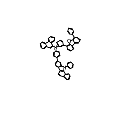 c1ccc(-c2cccc3c2oc2c(-c4cccc(N(c5ccc(-c6ccc7c8ccc9ccccc9c8n(-c8ccccc8)c7c6)cc5)c5cc6ccccc6c6ccccc56)c4)cccc23)cc1